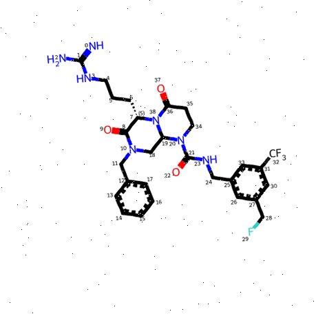 N=C(N)NCCC[C@H]1C(=O)N(Cc2ccccc2)CC2N(C(=O)NCc3cc(CF)cc(C(F)(F)F)c3)CCC(=O)N21